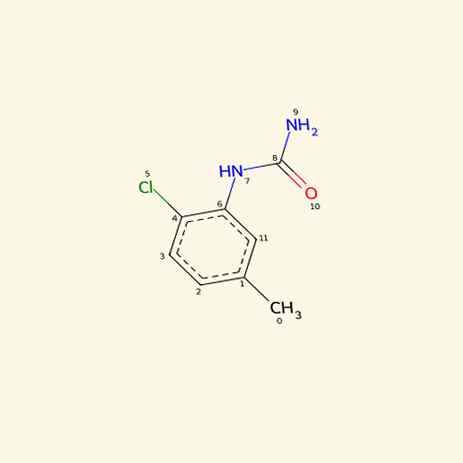 Cc1ccc(Cl)c(NC(N)=O)c1